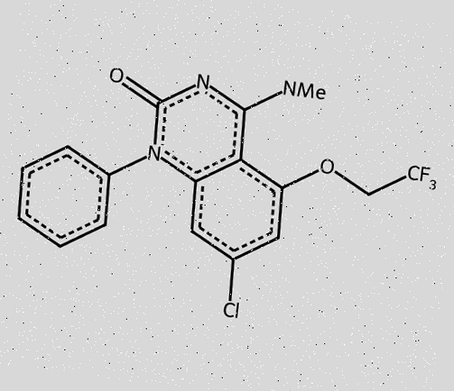 CNc1nc(=O)n(-c2ccccc2)c2cc(Cl)cc(OCC(F)(F)F)c12